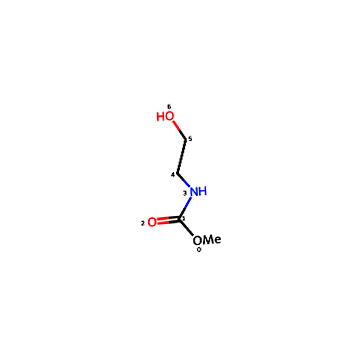 COC(=O)NCCO